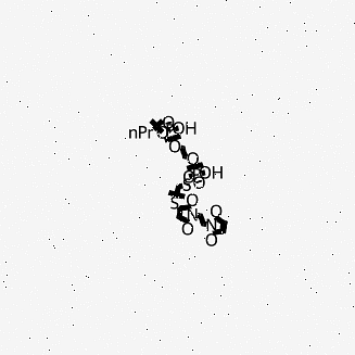 CCCC(C)(C)OP(=O)(O)C(C)(C)OCCOC(C)(C)P(=O)(O)OSCC(C)(C)SC1CC(=O)N(CCN2C(=O)C=CC2=O)C1=O